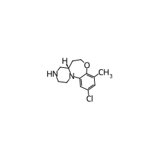 Cc1cc(Cl)cc2c1OCC[C@H]1CNCCN21